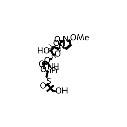 COc1ccn([C@@H]2O[C@H](COP(=O)(NC(C)C)OCCSC(=O)C(C)(C)CO)[C@@H](O)[C@@]2(C)O)c(=O)n1